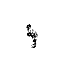 CC1(C)CCC(COc2cccc(-c3cn([C@H]4C[C@@H](CN5CCSC5)C4)c4ncnc(N)c34)c2)O1